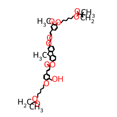 C=C(C)C(=O)OCCCCCCOc1ccc(C=CC(=O)Oc2ccc3c(c2)C(C)c2cc(OCOC=Cc4ccc(OCCCCCCOC(=O)C(=C)C)c(OC)c4)ccc2-3)cc1CO